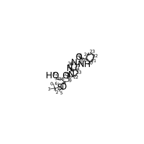 CC(C)(C)[Si](C)(C)OC1C[C@H](n2ccc3c(NC(=O)c4ccccc4)ncnc32)O[C@@H]1CO